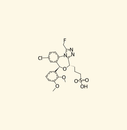 COc1cccc([C@@H]2O[C@@H](CCCS(=O)(=O)O)c3nnc(CF)n3-c3ccc(Cl)cc32)c1OC